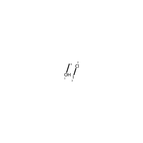 CO.ClI